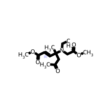 CCN(CC(=O)OC)C(C)(/C=C/C(=O)OC)CC(C)=O